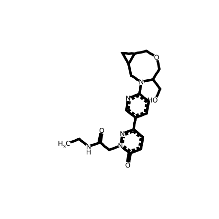 CCNC(=O)Cn1nc(-c2ccc(N3CC4CC4COCC3CO)nc2)ccc1=O